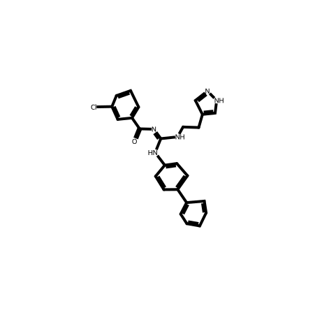 O=C(/N=C(/NCCc1cn[nH]c1)Nc1ccc(-c2ccccc2)cc1)c1cccc(Cl)c1